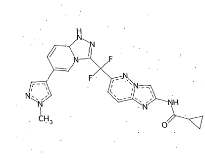 Cn1cc(C2=CN3C(C(F)(F)c4ccc5nc(NC(=O)C6CC6)cn5n4)=NNC3C=C2)cn1